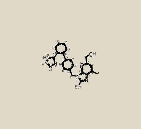 CCc1nc2c(C)cc(CO)nc2n1Cc1ccc(-c2ccccc2-c2nnn[nH]2)cc1